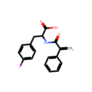 C=C(C(=O)NC(Cc1ccc(I)cc1)C(=O)O)c1ccccc1